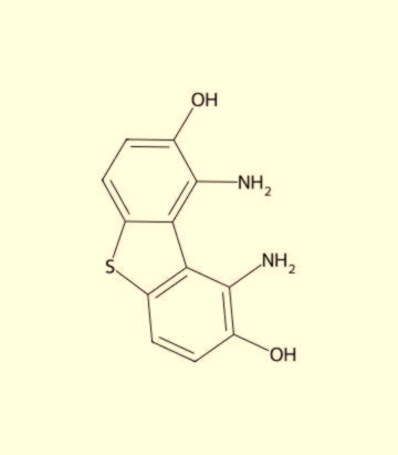 Nc1c(O)ccc2sc3ccc(O)c(N)c3c12